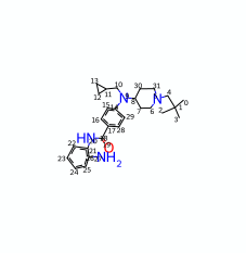 CC(C)(C)CN1CCC(N(CC2CC2)c2ccc(C(=O)Nc3ccccc3N)cc2)CC1